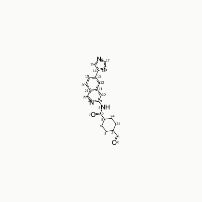 O=CC1CCC(C(=O)Nc2cc3cc(-c4cncs4)ccc3cn2)CC1